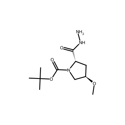 CO[C@@H]1C[C@@H](C(=O)NN)N(C(=O)OC(C)(C)C)C1